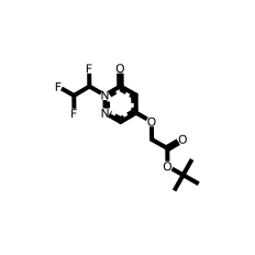 CC(C)(C)OC(=O)COc1cnn(C(F)C(F)F)c(=O)c1